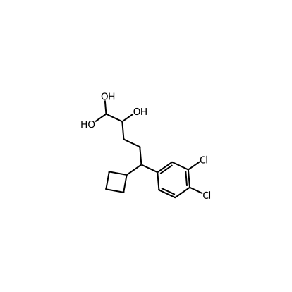 OC(O)C(O)CCC(c1ccc(Cl)c(Cl)c1)C1CCC1